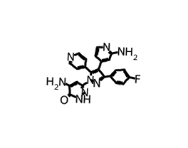 Nc1cc(-c2c(-c3ccc(F)cc3)nn(-c3cc(N)c(=O)[nH]n3)c2-c2ccncc2)ccn1